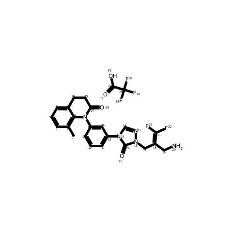 Cc1cccc2c1N(c1cccc(-n3cnn(CC(CN)=C(F)F)c3=O)c1)C(=O)CC2.O=C(O)C(F)(F)F